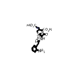 Nc1ccccc1CC(=O)N[C@@H]1C(=O)N2C(C(=O)O)=C(/C=C/C(=O)O)CS[C@H]12